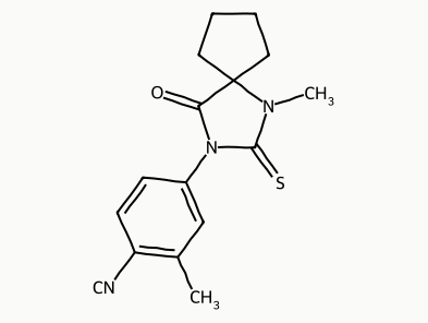 [C-]#[N+]c1ccc(N2C(=O)C3(CCCC3)N(C)C2=S)cc1C